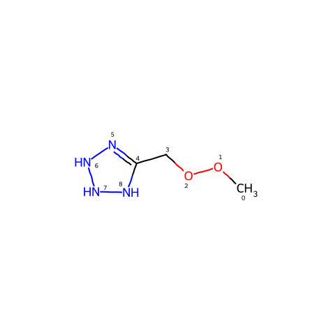 COOCC1=NNNN1